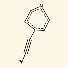 CC(C)C#Cc1ccncc1